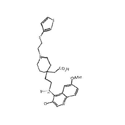 COc1ccc2ncc(Cl)c([C@H](F)CCC3(CC(=O)O)CCN(CCSc4ccsc4)CC3)c2c1